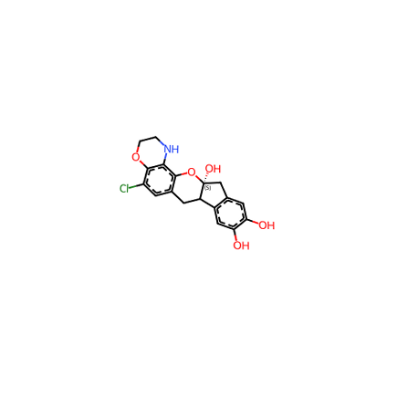 Oc1cc2c(cc1O)C1Cc3cc(Cl)c4c(c3O[C@@]1(O)C2)NCCO4